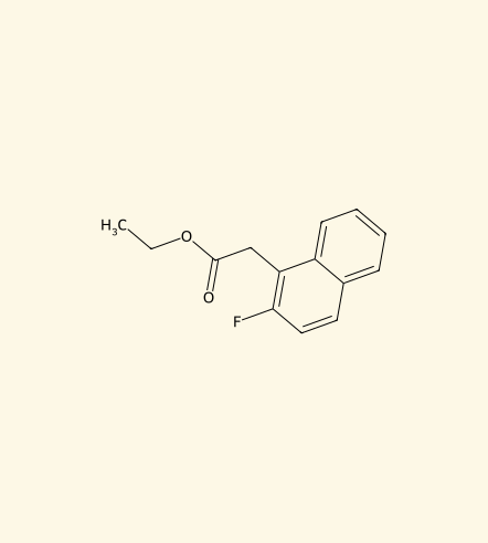 CCOC(=O)Cc1c(F)ccc2ccccc12